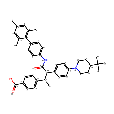 Cc1cc(C)c(-c2ccc(NC(=O)[C@@H](c3ccc(N4CCC(C(C)(C)C)CC4)cc3)[C@@H](C)c3ccc(C(=O)O)cc3)cc2)c(C)c1